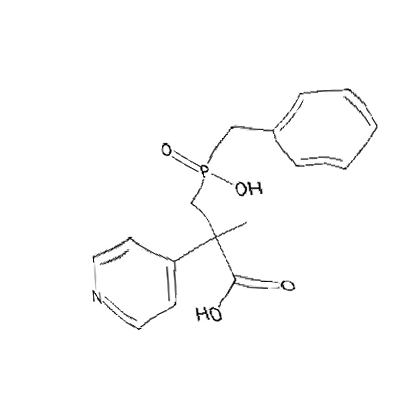 CC(CP(=O)(O)Cc1ccccc1)(C(=O)O)c1ccncc1